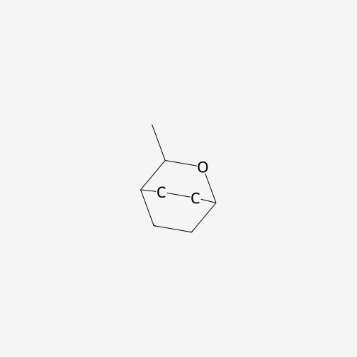 CC1OC2CCC1CC2